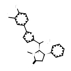 CN1C(=O)C[C@H](c2ccccc2)[C@@H]1C(O)c1ccc(-c2ccc(F)c(Cl)c2)s1